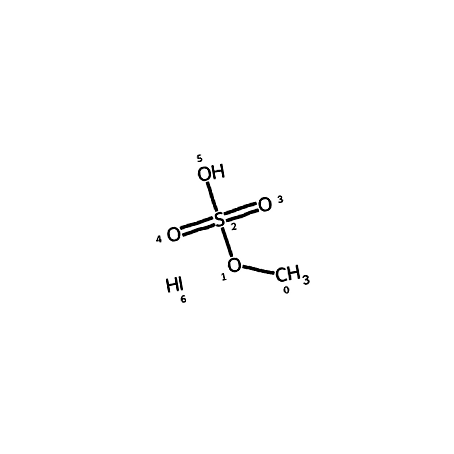 COS(=O)(=O)O.I